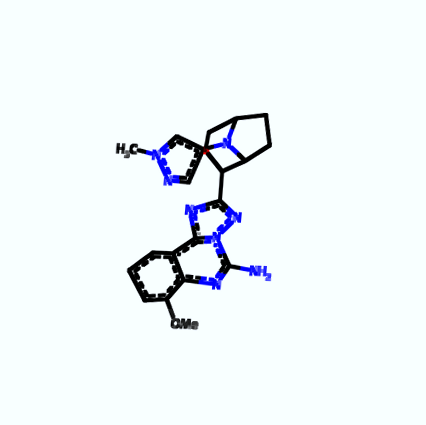 COc1cccc2c1nc(N)n1nc(C3CCC4CCC3N4c3cnn(C)c3)nc21